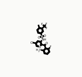 Cc1ccc(S(=O)(=O)Nc2cc(Cl)cnc2C(=O)c2c(N)cccc2F)cc1C(F)(F)F